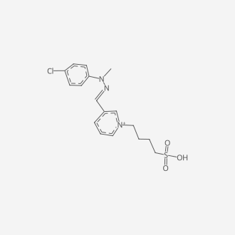 CN(N=Cc1ccc[n+](CCCCS(=O)(=O)O)c1)c1ccc(Cl)cc1